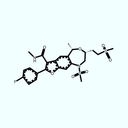 CNC(=O)c1c(-c2ccc(F)cc2)oc2cc3c(cc12)[C@H](C)O[C@H](CCS(C)(=O)=O)CN3S(C)(=O)=O